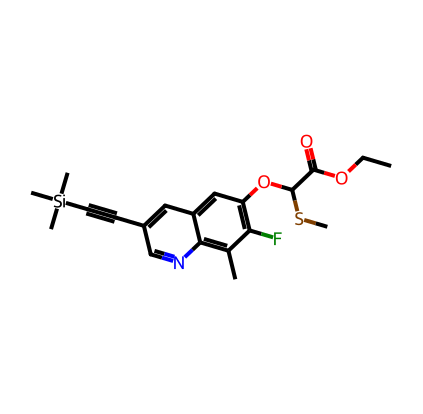 CCOC(=O)C(Oc1cc2cc(C#C[Si](C)(C)C)cnc2c(C)c1F)SC